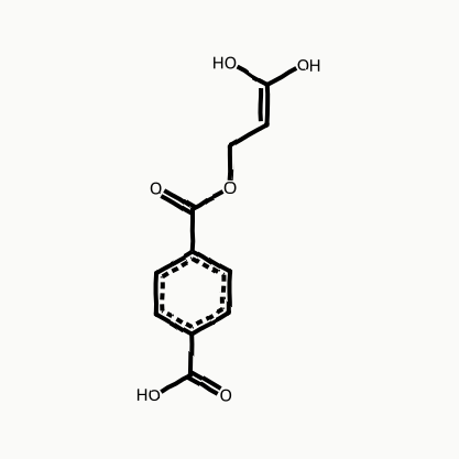 O=C(O)c1ccc(C(=O)OCC=C(O)O)cc1